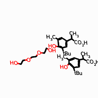 Cc1cc(C(C)C(=O)O)cc(C(C)(C)C)c1O.Cc1cc(C(C)C(=O)O)cc(C(C)(C)C)c1O.OCCOCCOCCO